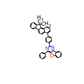 CC1(C)c2ccccc2-c2ccc3c(-c4ccc(-c5nc(-c6ccccc6)c6oc7ccccc7c6n5)cc4)cccc3c21